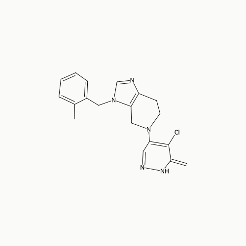 C=C1NN=CC(N2CCc3ncn(Cc4ccccc4C)c3C2)=C1Cl